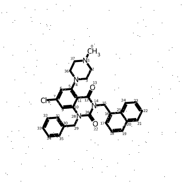 CN1CCN(c2cc(Cl)cc3c2c(=O)n(Cc2cccc4ccccc24)c(=O)n3Cc2ccccc2)CC1